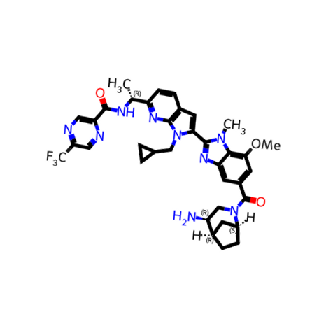 COc1cc(C(=O)N2C[C@H](N)[C@@H]3CC[C@H]2C3)cc2nc(-c3cc4ccc([C@@H](C)NC(=O)c5cnc(C(F)(F)F)cn5)nc4n3CC3CC3)n(C)c12